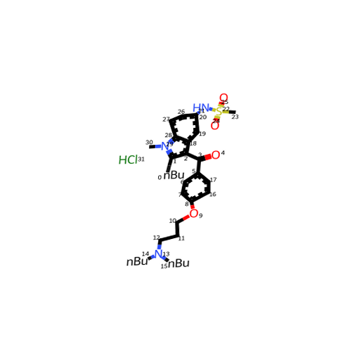 CCCCc1c(C(=O)c2ccc(OCCCN(CCCC)CCCC)cc2)c2cc(NS(C)(=O)=O)ccc2n1C.Cl